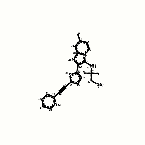 Cc1ccn2c(NC(C)(C)CC(C)(C)C)c(-c3ccc(C#Cc4ccccn4)s3)nc2c1